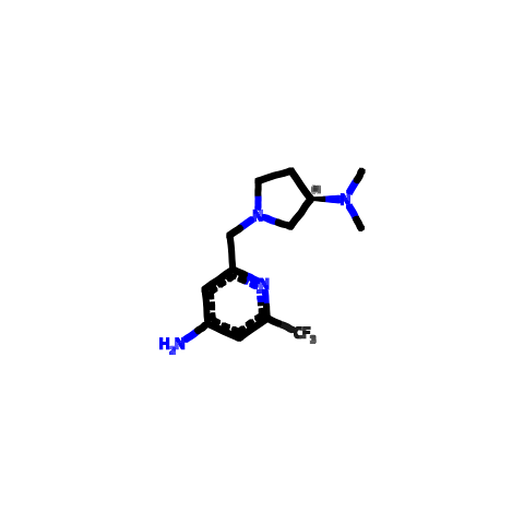 CN(C)[C@@H]1CCN(Cc2cc(N)cc(C(F)(F)F)n2)C1